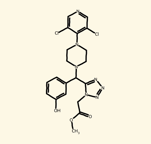 COC(=O)Cn1nnnc1C(c1cccc(O)c1)N1CCN(c2c(Cl)cncc2Cl)CC1